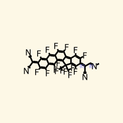 C/N=C/C(C#N)=c1\c(F)c(F)c2c(c1F)C(C(F)(F)F)(C(F)(F)F)c1c=2c(F)c(F)c2c(F)c3c(F)c(=C(C#N)C#N)c(F)c(F)c3c(F)c12